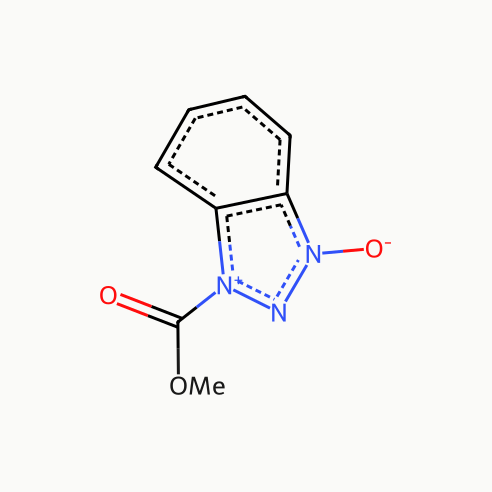 COC(=O)[n+]1nn([O-])c2ccccc21